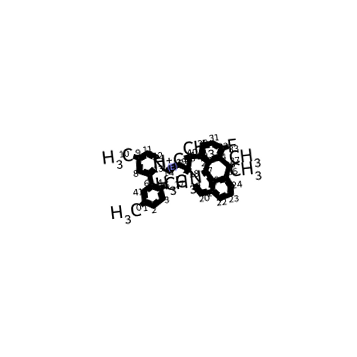 Cc1ccc(C)c(-c2cc(C)cc[n+]2/C=C/C2(C)[n+]3ccc4cccc5c4c3-c3c(ccc(F)c3C5(C)C)C2(C)C)c1